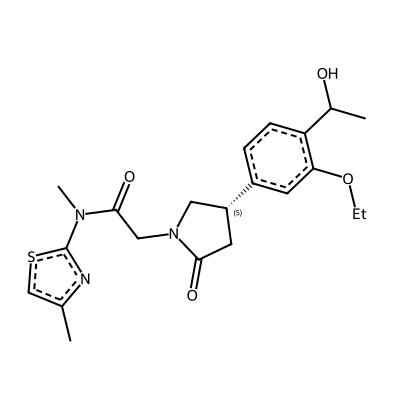 CCOc1cc([C@@H]2CC(=O)N(CC(=O)N(C)c3nc(C)cs3)C2)ccc1C(C)O